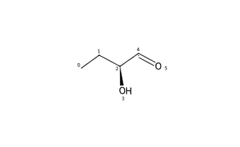 CC[C@H](O)[C]=O